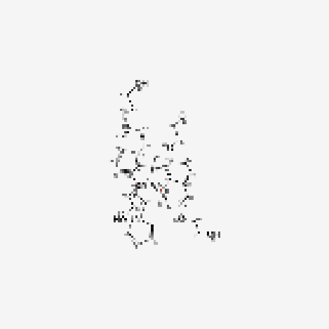 CC(c1ccc(-c2ccccc2)cc1)(c1c(OCCO)ccc2cc(OCCO)ccc12)c1c(OCCO)ccc2cc(OCCO)ccc12